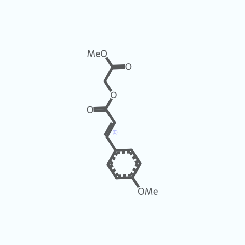 COC(=O)COC(=O)/C=C/c1ccc(OC)cc1